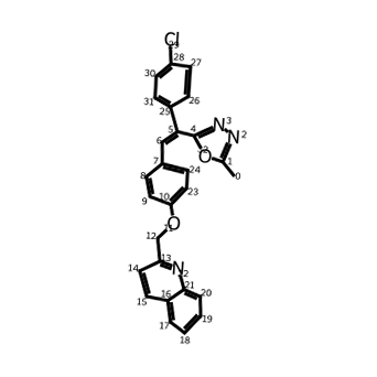 Cc1nnc(C(=Cc2ccc(OCc3ccc4ccccc4n3)cc2)c2ccc(Cl)cc2)o1